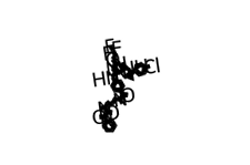 CN(CCCN(C)C(=O)c1ccc(Nc2nc(NC3(c4ccc(Cl)cc4)CC3)nc(OCC(F)(F)F)n2)cc1)C(=O)C(=O)N1CCCCC1